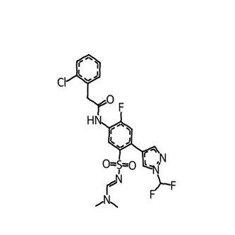 CN(C)/C=N/S(=O)(=O)c1cc(NC(=O)Cc2ccccc2Cl)c(F)cc1-c1cnn(C(F)F)c1